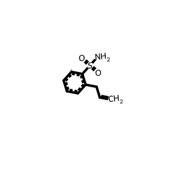 C=CCc1ccc[c]c1S(N)(=O)=O